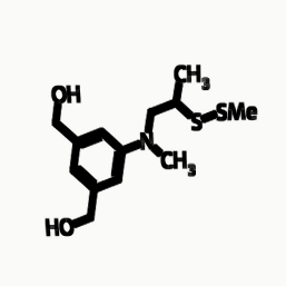 CSSC(C)CN(C)c1cc(CO)cc(CO)c1